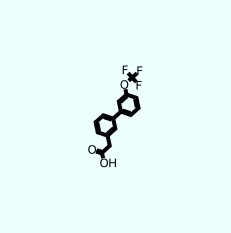 O=C(O)Cc1cccc(-c2cccc(OC(F)(F)F)c2)c1